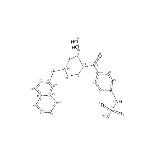 CS(=O)(=O)Nc1ccc(C(=O)C2CCN(Cc3cnc4ccccc4c3)CC2)cc1.Cl.Cl